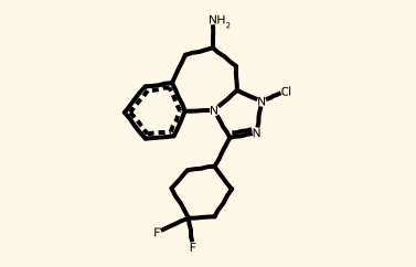 NC1Cc2ccccc2N2C(C3CCC(F)(F)CC3)=NN(Cl)C2C1